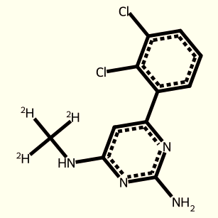 [2H]C([2H])([2H])Nc1cc(-c2cccc(Cl)c2Cl)nc(N)n1